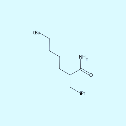 CC(C)CC(CCCCC(C)(C)C)C(N)=O